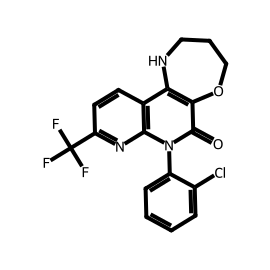 O=c1c2c(c3ccc(C(F)(F)F)nc3n1-c1ccccc1Cl)NCCCO2